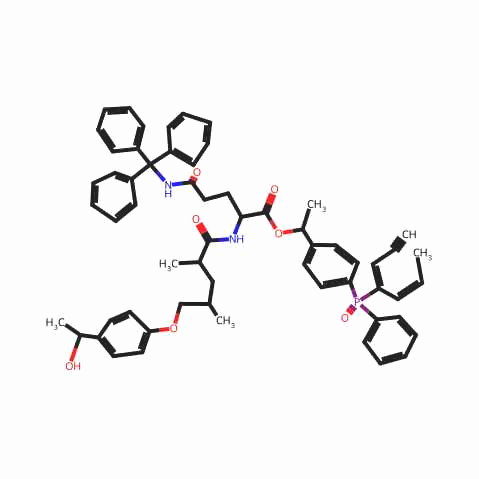 C#C/C=C(\C=C/C)P(=O)(c1ccccc1)c1ccc(C(C)OC(=O)C(CCC(=O)NC(c2ccccc2)(c2ccccc2)c2ccccc2)NC(=O)C(C)CC(C)COc2ccc(C(C)O)cc2)cc1